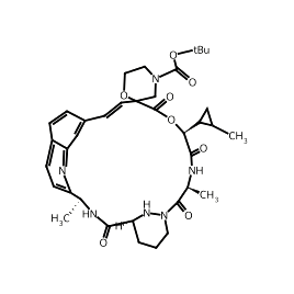 CC1CC1[C@@H]1OC(=O)C2(/C=C/c3ccc4ccc(nc4c3)[C@@H](C)NC(=O)[C@@H]3CCCN(N3)C(=O)[C@H](C)NC1=O)CN(C(=O)OC(C)(C)C)CCO2